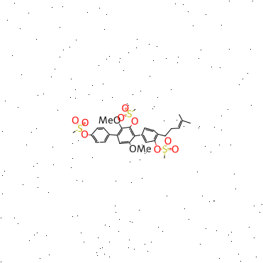 COc1cc(-c2ccc(OS(C)(=O)=O)cc2)c(OC)c(OS(C)(=O)=O)c1-c1ccc(CCC=C(C)C)c(OS(C)(=O)=O)c1